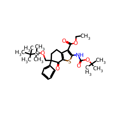 CCOC(=O)c1c(NC(=O)OC(C)(C)C)sc2c1CCC(CO[Si](C)(C)C(C)(C)C)(c1ccccc1)C2=O